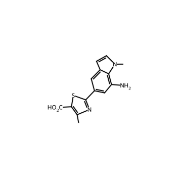 Cc1nc(-c2cc(N)c3c(ccn3C)c2)sc1C(=O)O